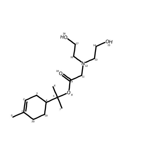 CC1=CCC(C(C)(C)OC(=O)CN(CCO)CCO)CC1